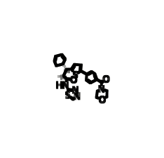 C[C@@H](C(=O)Nc1nncs1)[C@@H](c1ccc(-c2ccc(C(=O)N3CCOCC3)cc2)s1)C1C=CC=CC1